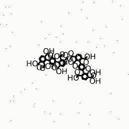 O=C(O)c1ccc(C(=O)O)c(-c2ccc(-c3c(C(=O)O)ccc(C(=O)OC(=O)c4ccc(C(=O)O)c(-c5ccc(-c6c(C(=O)O)ccc(C(=O)O)c6C(=O)O)cc5)c4C(=O)O)c3C(=O)O)cc2)c1C(=O)O